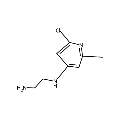 Cc1cc(NCCN)cc(Cl)n1